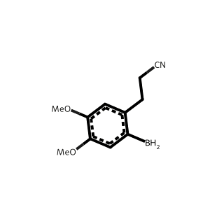 Bc1cc(OC)c(OC)cc1CCC#N